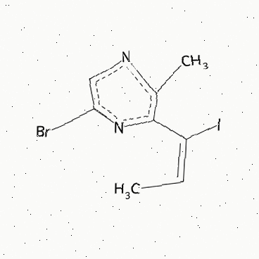 C/C=C(/I)c1nc(Br)cnc1C